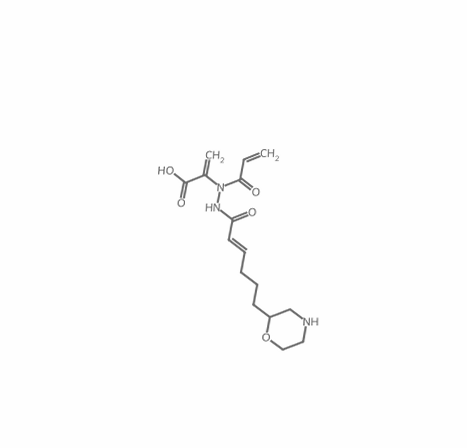 C=CC(=O)N(NC(=O)C=CCCCC1CNCCO1)C(=C)C(=O)O